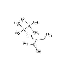 CC(C)(O)C(C)(C)O.CCCB(O)O